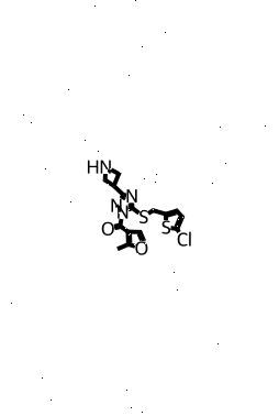 Cc1occc1C(=O)n1nc(C2CNC2)nc1SCc1ccc(Cl)s1